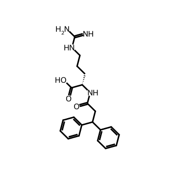 N=C(N)NCCC[C@H](NC(=O)CC(c1ccccc1)c1ccccc1)C(=O)O